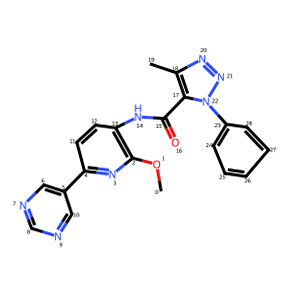 COc1nc(-c2cncnc2)ccc1NC(=O)c1c(C)nnn1-c1ccccc1